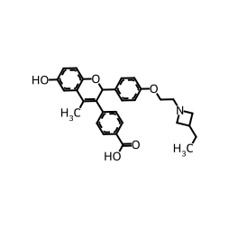 CCC1CN(CCOc2ccc(C3Oc4ccc(O)cc4C(C)=C3c3ccc(C(=O)O)cc3)cc2)C1